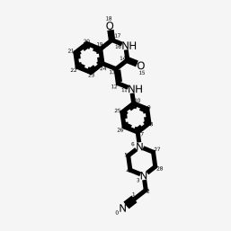 N#CCN1CCN(c2ccc(NC=C3C(=O)NC(=O)c4ccccc43)cc2)CC1